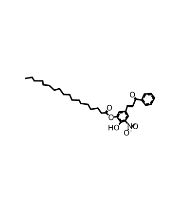 CCCCCCCCCCCCCCCCCC(=O)Oc1cc(C=CC(=O)c2ccccc2)cc([N+](=O)[O-])c1O